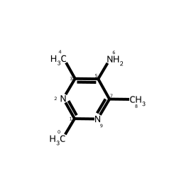 Cc1nc(C)c(N)c(C)n1